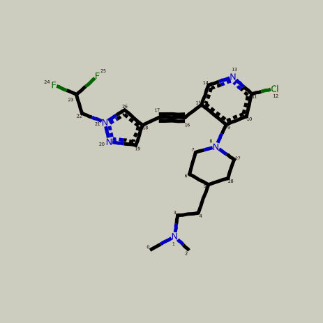 CN(C)CCC1CCN(c2cc(Cl)ncc2C#Cc2cnn(CC(F)F)c2)CC1